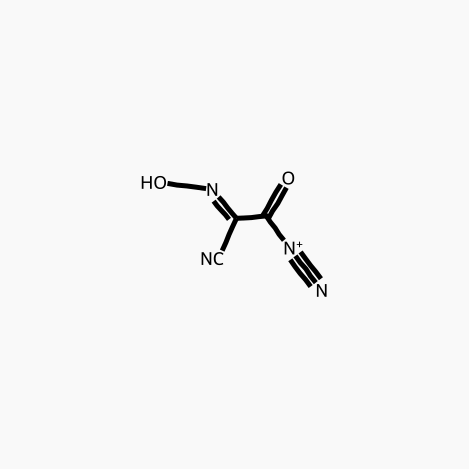 N#C/C(=N\O)C(=O)[N+]#N